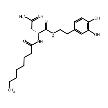 CCCCCCCC(=O)N[C@H](CC(=N)N)C(=O)NCCc1ccc(O)c(O)c1